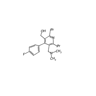 CC(C)c1nc(C(C)C)c(CN(C)C)c(-c2ccc(F)cc2)c1CO